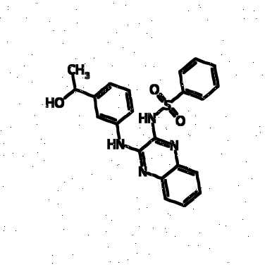 CC(O)c1cccc(Nc2nc3ccccc3nc2NS(=O)(=O)c2ccccc2)c1